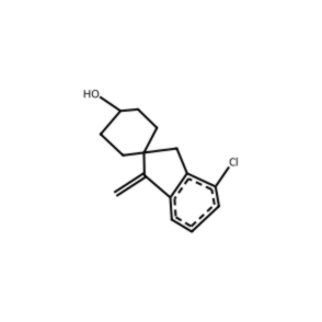 C=C1c2cccc(Cl)c2CC12CCC(O)CC2